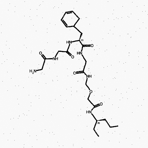 CCC[C@@H](CC)NC(=O)COCNC(=O)CNC(=O)[C@H](CC1C=CC=CC1)NC(=O)CNC(=O)CN